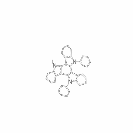 In1c2ccccc2c2c1c1c3ccccc3n(-c3ccccc3)c1c1c3ccccc3n(-c3ccccc3)c21